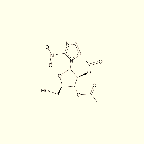 CC(=O)O[C@H]1[C@H](OC(C)=O)C(n2ccnc2[N+](=O)[O-])O[C@@H]1CO